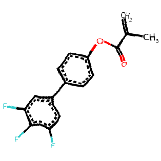 C=C(C)C(=O)Oc1ccc(-c2cc(F)c(F)c(F)c2)cc1